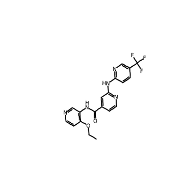 CCOc1ccncc1NC(=O)c1ccnc(Nc2ccc(C(F)(F)F)cn2)c1